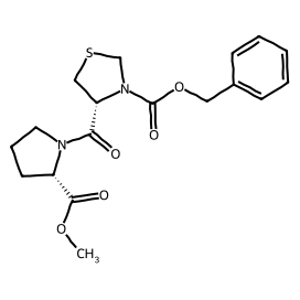 COC(=O)[C@@H]1CCCN1C(=O)[C@@H]1CSCN1C(=O)OCc1ccccc1